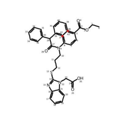 CCOC(=O)c1ccc(N(CCCSc2nc3ccccc3n2CC(=O)O)C(=O)C(c2ccccc2)c2ccccc2)cc1